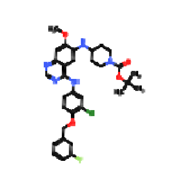 COc1cc2ncnc(Nc3ccc(OCc4cccc(F)c4)c(Cl)c3)c2cc1NC1CCN(C(=O)OC(C)(C)C)CC1